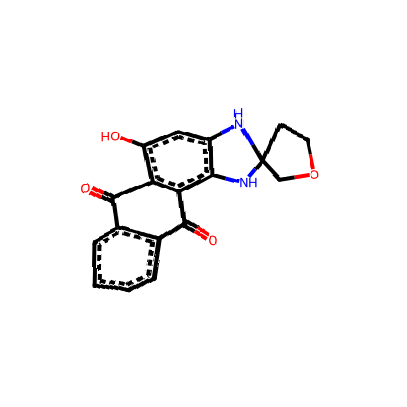 O=C1c2ccccc2C(=O)c2c3c(cc(O)c21)NC1(CCOC1)N3